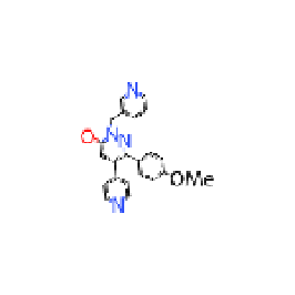 COc1ccc(-c2nn(Cc3cccnc3)c(=O)cc2-c2ccncc2)cc1